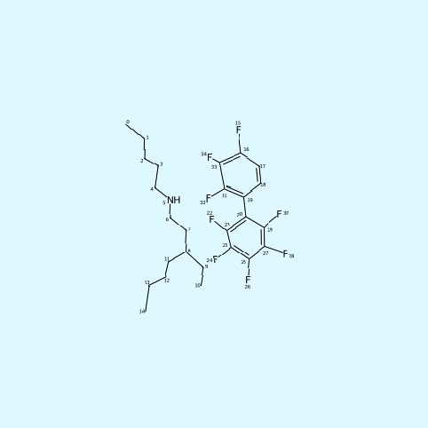 CCCCCNCCC(CC)CCCC.Fc1ccc(-c2c(F)c(F)c(F)c(F)c2F)c(F)c1F